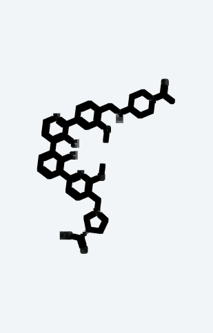 COc1cc(-c2nccc(-c3cccc(-c4ccc(CN5CC[C@H](C(=O)O)C5)c(OC)n4)c3Cl)c2Cl)ccc1CNC1CCN(C(C)=O)CC1